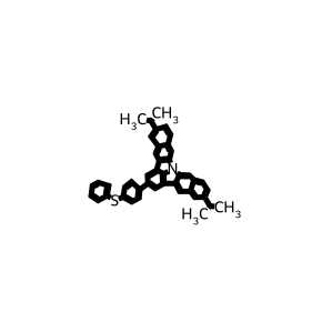 CC(C)c1ccc2cc3c(cc2c1)c1cc(-c2ccc(Sc4ccccc4)cc2)cc2c4cc5cc(C(C)C)ccc5cc4n3c12